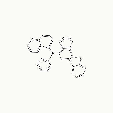 c1ccc(N(c2cccc3ccccc23)c2cc3c4ccccc4sc3c3ccccc23)cc1